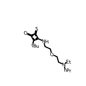 CCCN(CC)CCOCCNc1c(C(C)(C)C)c(=O)c1=S